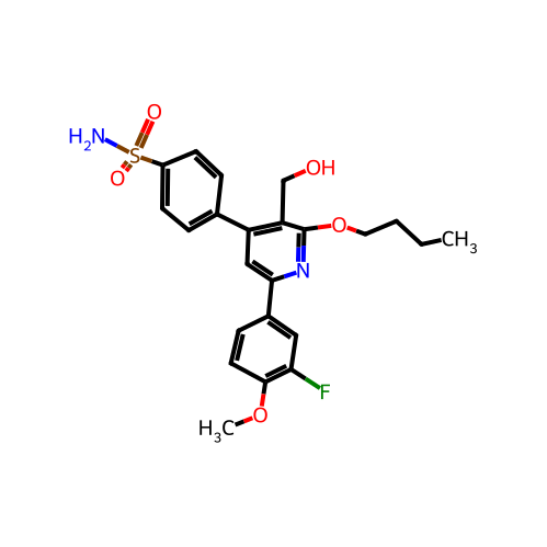 CCCCOc1nc(-c2ccc(OC)c(F)c2)cc(-c2ccc(S(N)(=O)=O)cc2)c1CO